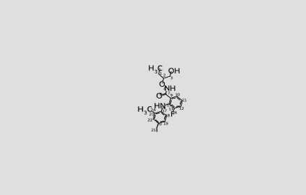 CCC(CO)ONC(=O)c1cccc(F)c1Nc1ccc(I)cc1C